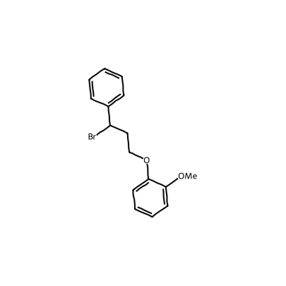 COc1ccccc1OCCC(Br)c1ccccc1